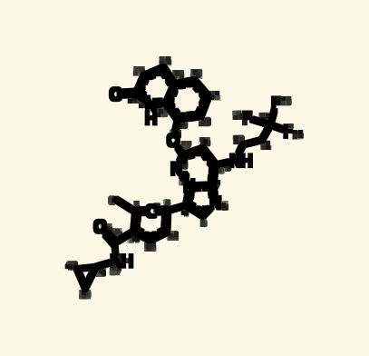 Cc1cc(-c2cnc3c(NCCC(F)(F)F)cc(Oc4cccc5ccc(=O)[nH]c45)nn23)ccc1C(=O)NC1CC1